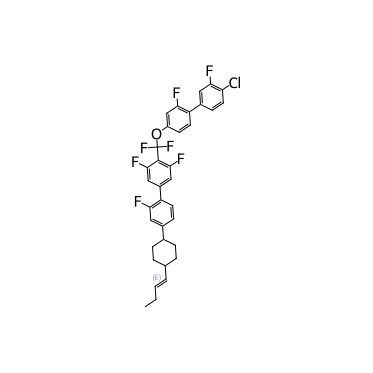 CC/C=C/C1CCC(c2ccc(-c3cc(F)c(C(F)(F)Oc4ccc(-c5ccc(Cl)c(F)c5)c(F)c4)c(F)c3)c(F)c2)CC1